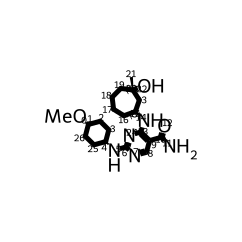 CO[C@H]1CC[C@H](Nc2ncc(C(N)=O)c(N[C@H]3CCCC[C@](C)(O)C3)n2)CC1